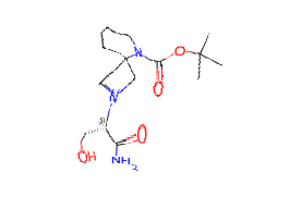 CC(C)(C)OC(=O)N1CCCC12CN([C@@H](CO)C(N)=O)C2